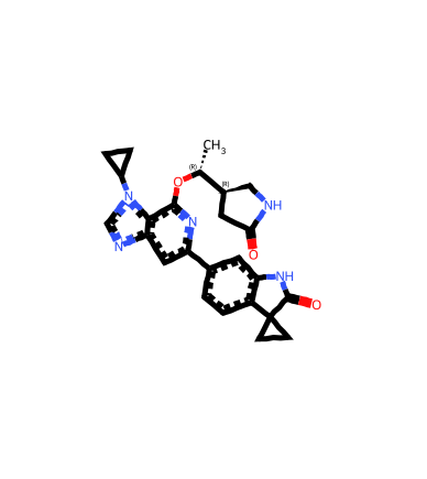 C[C@@H](Oc1nc(-c2ccc3c(c2)NC(=O)C32CC2)cc2ncn(C3CC3)c12)[C@H]1CNC(=O)C1